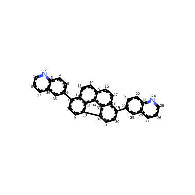 c1cnc2ccc(-c3ccc4c5c3ccc3ccc6c(-c7ccc8ncccc8c7)ccc-4c6c35)cc2c1